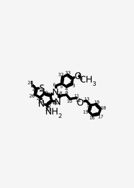 COc1ccc(Cn2c(CCCOCc3ccccc3)nc3c(N)nc4cc(I)sc4c32)cc1